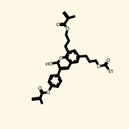 C=C(C)C(=O)OCCCc1cc(CCCOC(=O)CC)cc2c1OC(O)C(c1ccc(OC(=O)C(=C)C)cc1)=C2